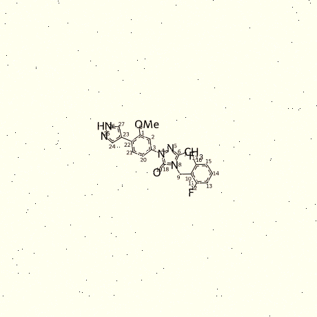 COc1cc(-n2nc(C)n(Cc3c(F)cccc3F)c2=O)ccc1-c1cn[nH]c1